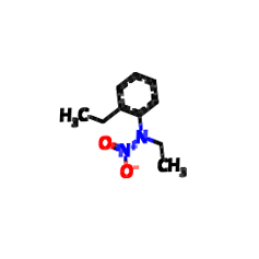 CCc1ccccc1N(CC)[N+](=O)[O-]